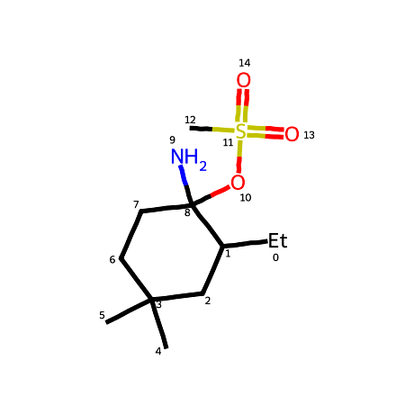 CCC1CC(C)(C)CCC1(N)OS(C)(=O)=O